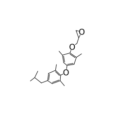 Cc1cc(Oc2c(C)cc(CC(C)C)cc2C)cc(C)c1OCC1CO1